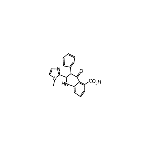 Cn1ccnc1C1Nc2cccc(C(=O)O)c2C(=O)C1c1ccccc1